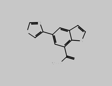 COC(=O)c1cc(-c2cscn2)cc2cc[nH]c12